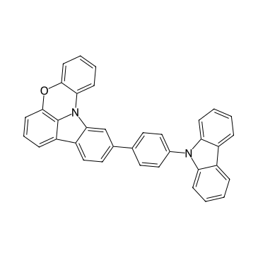 c1ccc2c(c1)Oc1cccc3c4ccc(-c5ccc(-n6c7ccccc7c7ccccc76)cc5)cc4n-2c13